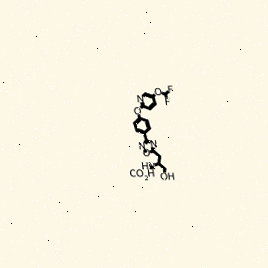 O=C(O)NC(CO)Cc1nc(-c2ccc(Oc3ccc(OC(F)F)cn3)cc2)no1